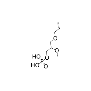 C=CCOCC(COP(=O)(O)O)OC